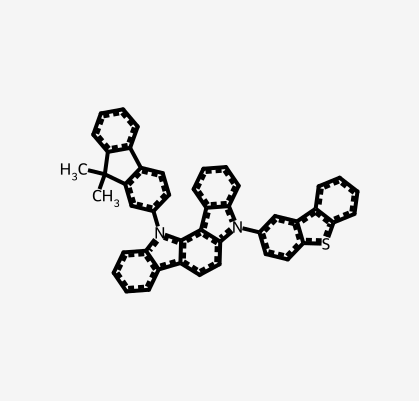 CC1(C)c2ccccc2-c2ccc(-n3c4ccccc4c4ccc5c(c6ccccc6n5-c5ccc6sc7ccccc7c6c5)c43)cc21